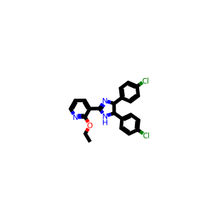 CCOc1ncccc1C1=NC(c2ccc(Cl)cc2)C(c2ccc(Cl)cc2)N1